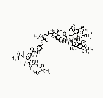 C=CS[C@@H]1c2c(OC(C)=O)c(C)c3c(c2C(COC(=O)[C@@H]2NCCc4cc(OC(=O)N(C)CCN(C)C(=O)OCc5ccc(NC(=O)[C@H](CCCNC(N)=O)NC(=O)[C@@H](NC(=O)CCC(=O)C(C)C)C(C)C)cc5)c(OC)cc42)N2[C@@H]1C1c4c(cc(C)c(OC)c4O)C4(C)C[C@@H]([C@@H]2O)N14)OCO3